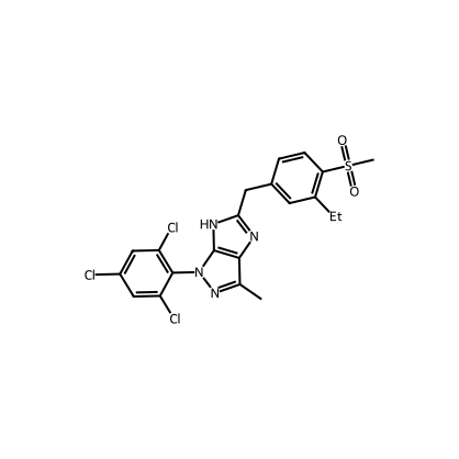 CCc1cc(Cc2nc3c(C)nn(-c4c(Cl)cc(Cl)cc4Cl)c3[nH]2)ccc1S(C)(=O)=O